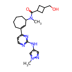 CN(C(=O)C1CC(CO)C1)C1C=C(c2ccnc(Nc3cnn(C)c3)n2)CCCC1